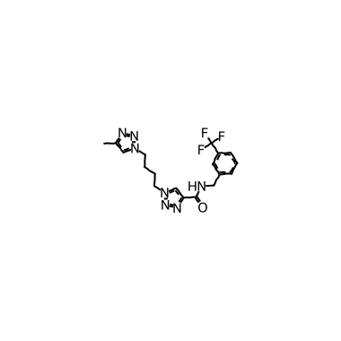 Cc1cn(CCCCn2cc(C(=O)NCc3cccc(C(F)(F)F)c3)nn2)nn1